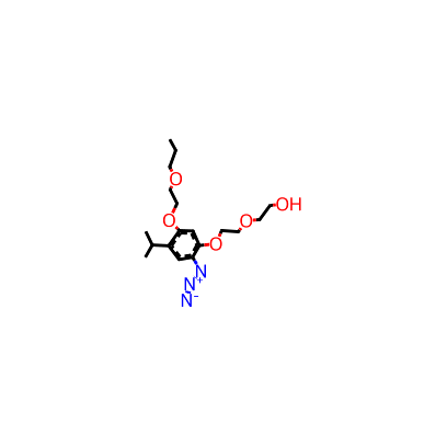 CCCOCCOc1cc(OCCOCCO)c(N=[N+]=[N-])cc1C(C)C